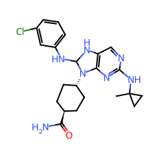 CC1(Nc2ncc3c(n2)N([C@H]2CC[C@H](C(N)=O)CC2)C(Nc2cccc(Cl)c2)N3)CC1